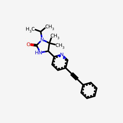 CC(C)N1C(=O)NC(c2ccc(C#Cc3ccccc3)cn2)C1(C)C